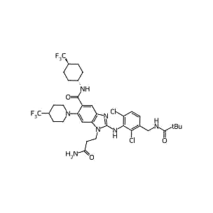 CC(C)(C)C(=O)NCc1ccc(Cl)c(Nc2nc3cc(C(=O)N[C@H]4CC[C@H](C(F)(F)F)CC4)c(N4CCC(C(F)(F)F)CC4)cc3n2CCC(N)=O)c1Cl